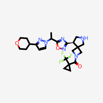 CC(c1nc([C@H]2CNCC23CN(C(=O)C2(C(F)(F)F)CC2)C3)no1)n1ccc(C2CCOCC2)n1